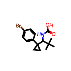 CC(C)(C)C(NC(=O)O)C1(c2ccc(Br)cc2)CC1